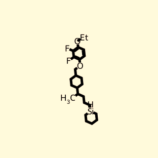 CCOc1ccc(OCC2CCC(C(C)CCC[SiH]3CCCCC3)CC2)c(F)c1F